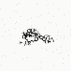 CC(C)OC(C)COC(=O)C1CCC(CCC2OC2(C)CCC2OC2(C)C)CC1C(=O)OCC(C)OC(C)C